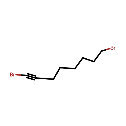 BrC#CCCCCCCBr